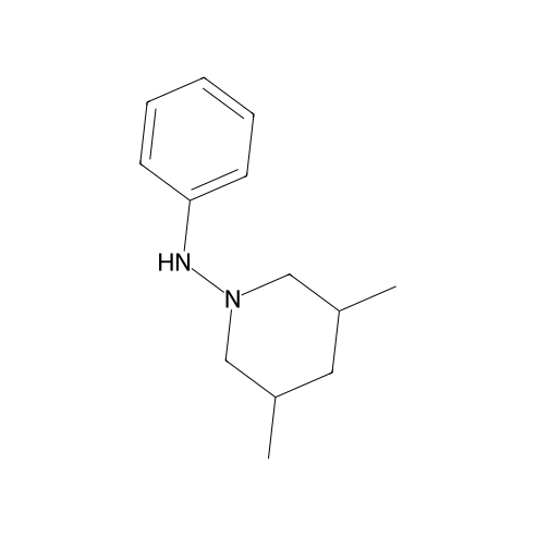 CC1CC(C)CN(Nc2ccccc2)C1